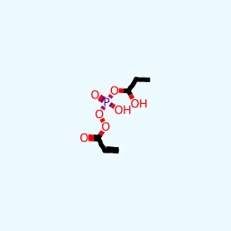 C=CC(=O)OOP(=O)(O)OC(O)CC